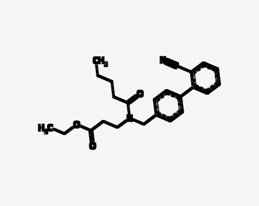 CCCCC(=O)N(CCC(=O)OCC)Cc1ccc(-c2ccccc2C#N)cc1